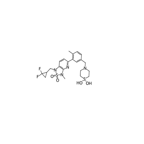 Cc1ccc(CN2CCS(O)(O)CC2)cc1-c1ccc2c(n1)N(C)S(=O)(=O)N2CC1CC1(F)F